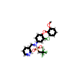 COc1ccccc1Oc1ccc(N(Cc2cccnc2)S(=O)(=O)CC(F)(F)F)cc1Cl